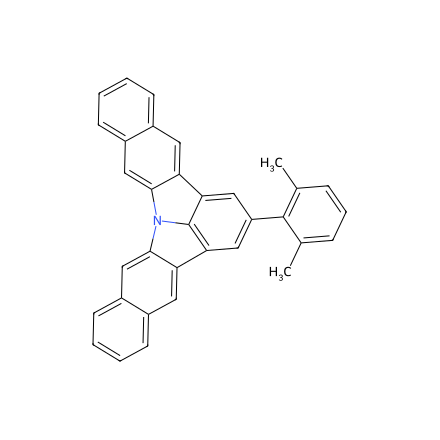 Cc1cccc(C)c1-c1cc2c3cc4ccccc4cc3n3c4cc5ccccc5cc4c(c1)c23